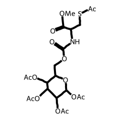 COC(=O)C(CSC(C)=O)NC(=O)OCC1OC(OC(C)=O)C(OC(C)=O)C(OC(C)=O)C1OC(C)=O